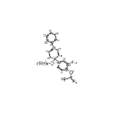 CCCCCCOC1(c2ccc(OC(F)F)c(F)c2)C=CC(c2ccccc2)=CC1